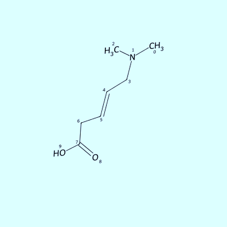 CN(C)CC=CCC(=O)O